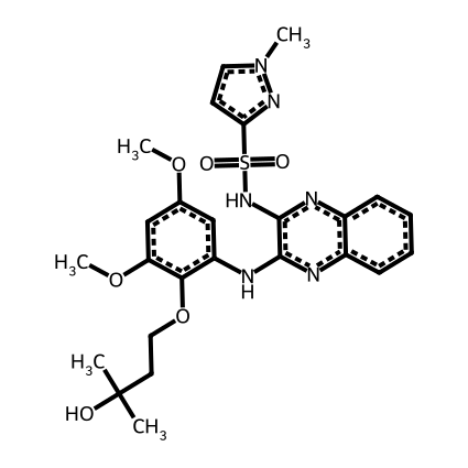 COc1cc(Nc2nc3ccccc3nc2NS(=O)(=O)c2ccn(C)n2)c(OCCC(C)(C)O)c(OC)c1